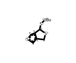 CC(C)(C)SC1SCc2cscc21